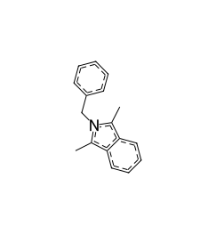 Cc1c2ccccc2c(C)n1Cc1ccccc1